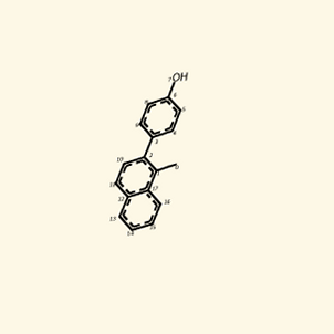 Cc1c(-c2ccc(O)cc2)ccc2ccccc12